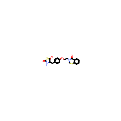 O=C1NC(Cc2ccc(OCCN3CSc4ccccc4C3=O)cc2)C(=O)S1